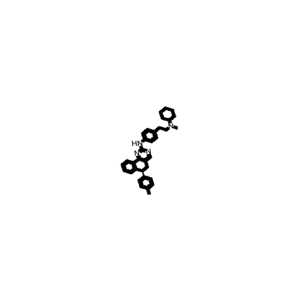 Cc1ccc([C@@H]2Cc3cnc(Nc4ccc(CCN(C)C5CCCCC5)cc4)nc3-c3ccccc32)cc1